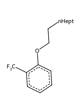 CCCCCCCCCOc1ccccc1C(F)(F)F